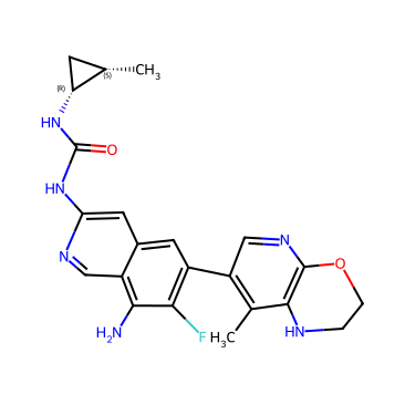 Cc1c(-c2cc3cc(NC(=O)N[C@@H]4C[C@@H]4C)ncc3c(N)c2F)cnc2c1NCCO2